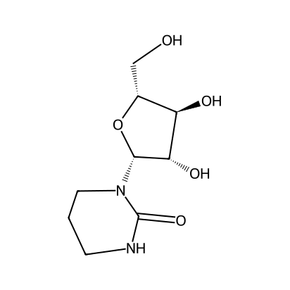 O=C1NCCCN1[C@@H]1O[C@H](CO)[C@@H](O)[C@@H]1O